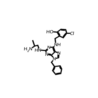 CC(N)CNc1nc(NCc2cc(Cl)ccc2O)c2ncn(Cc3ccccc3)c2n1